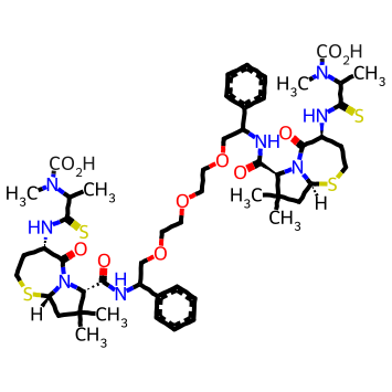 CC(C(=S)N[C@H]1CCS[C@H]2CC(C)(C)[C@@H](C(=O)NC(COCCOCCOCC(NC(=O)[C@H]3N4C(=O)[C@@H](NC(=S)C(C)N(C)C(=O)O)CCS[C@H]4CC3(C)C)c3ccccc3)c3ccccc3)N2C1=O)N(C)C(=O)O